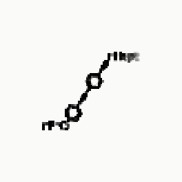 CCCCCCCC#Cc1ccc(C#Cc2ccc(OCCC)cc2)cc1